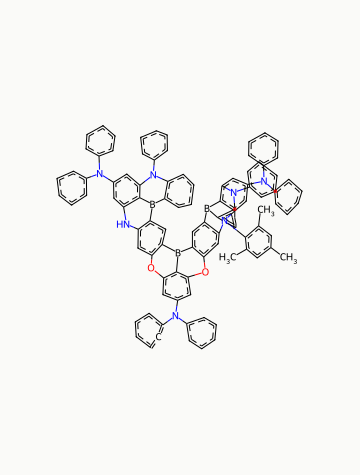 Cc1cc(C)c(N2c3cc4c(cc3B3c5ccccc5N(c5ccccc5)c5cc(N(c6ccccc6)c6ccccc6)cc2c53)B2c3cc5c(cc3Oc3cc(N(c6ccccc6)c6ccccc6)cc(c32)O4)Nc2cc(N(c3ccccc3)c3ccccc3)cc3c2B5c2ccccc2N3c2ccccc2)c(C)c1